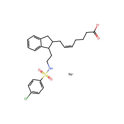 O=C([O-])CCC/C=C\CC1Cc2ccccc2C1CCNS(=O)(=O)c1ccc(Cl)cc1.[Na+]